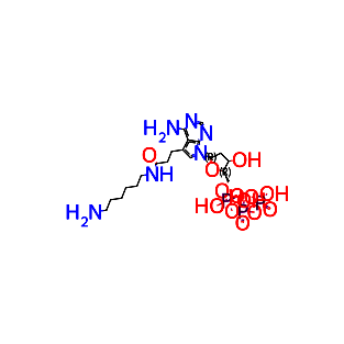 NCCCCCCNC(=O)CCc1cn([C@H]2CC(O)[C@@H](COP(=O)(O)OP(=O)(O)OP(=O)(O)O)O2)c2ncnc(N)c12